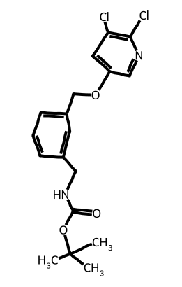 CC(C)(C)OC(=O)NCc1cccc(COc2cnc(Cl)c(Cl)c2)c1